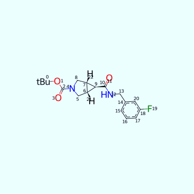 CC(C)(C)OC(=O)N1C[C@@H]2[C@H](C1)[C@H]2C(=O)NCc1cccc(F)c1